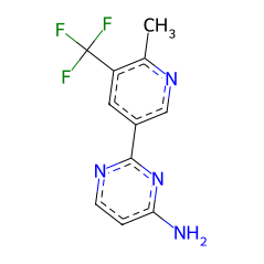 Cc1ncc(-c2nccc(N)n2)cc1C(F)(F)F